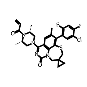 C=CC(=O)N1[C@H](C)CN(c2nc(=O)n3c4c(c(-c5cc(Cl)c(F)cc5F)c(C)cc24)SCC2(CC2)C3)C[C@@H]1C